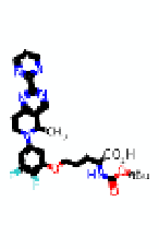 CC1c2cnc(-c3ncccn3)nc2CCN1c1cc(F)c(F)c(OCCCC(NC(=O)OC(C)(C)C)C(=O)O)c1